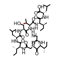 CC[C@H](C)[C@H](NC(=O)CN)C(=O)NCC(=O)N[C@H](C(=O)N[C@@H](CC(C)C)C(=O)N[C@H](C(=O)N[C@H](C(=O)N[C@H](C(=O)N[C@@H](CC(C)C)C(=O)O)[C@@H](C)CC)C(C)C)[C@@H](C)O)[C@@H](C)CC